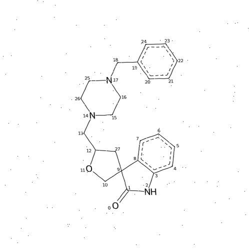 O=C1Nc2ccccc2C12COC(CN1CCN(Cc3ccccc3)CC1)C2